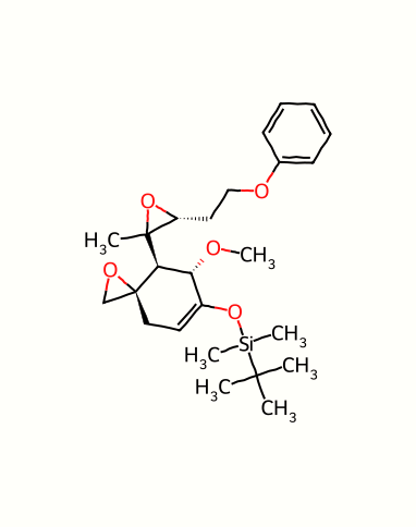 CO[C@@H]1C(O[Si](C)(C)C(C)(C)C)=CC[C@]2(CO2)[C@H]1C1(C)O[C@@H]1CCOc1ccccc1